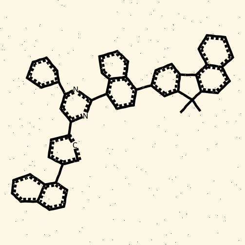 CC1(C)c2cc(-c3ccc(-c4nc(-c5ccccc5)cc(-c5ccc(-c6cccc7ccccc67)cc5)n4)c4ccccc34)ccc2-c2c1ccc1ccccc21